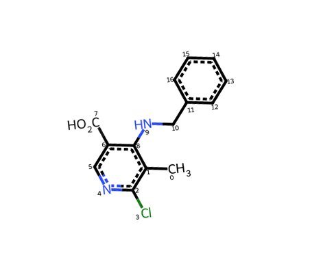 Cc1c(Cl)ncc(C(=O)O)c1NCc1ccccc1